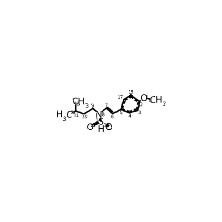 COc1ccc(C=CN(CCC(C)C)[SH](=O)=O)cc1